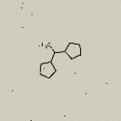 CC(C1CCCC1)C1CCCC1